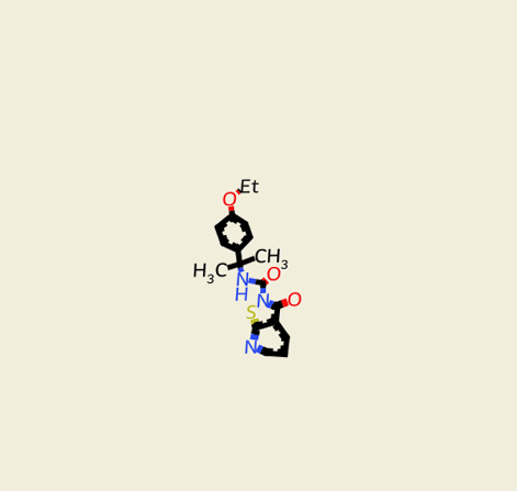 CCOc1ccc(C(C)(C)NC(=O)n2sc3ncccc3c2=O)cc1